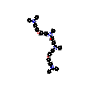 c1ccc(-c2cc(-c3ccccc3)nc(-c3ccc(-c4ccc(Oc5ccc(-c6ccc(-c7nc(-c8ccccc8)cc(-c8ccc(-c9ccc(-c%10nc(-c%11ccccc%11)nc(-c%11ccc(-c%12ccc(Oc%13ccc(-c%14ccc(-c%15nc(-c%16ccccc%16)nc(-c%16ccccc%16)n%15)cc%14)cc%13)cc%12)cc%11)n%10)cc9)cc8)n7)cc6)cc5)cc4)cc3)n2)cc1